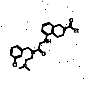 CCC(=O)N1CCc2c(cccc2NCC(=O)N(CCN(C)C)Cc2cccc(Cl)c2)C1